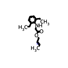 C/C=C/COC(=O)CNc1c(CC)cccc1CC